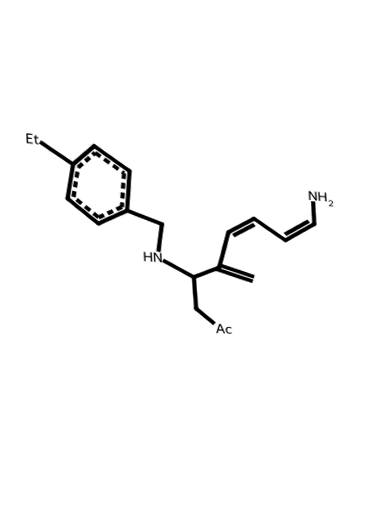 C=C(/C=C\C=C/N)C(CC(C)=O)NCc1ccc(CC)cc1